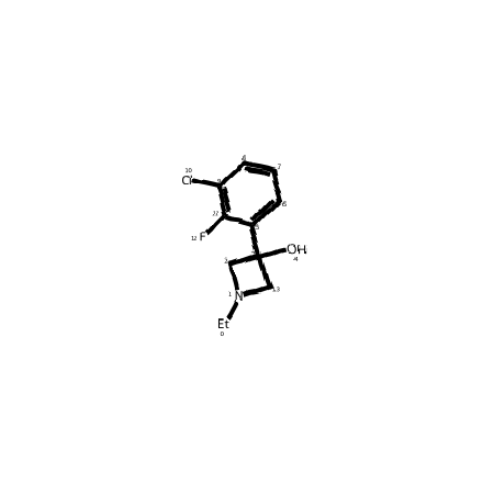 CCN1CC(O)(c2cccc(Cl)c2F)C1